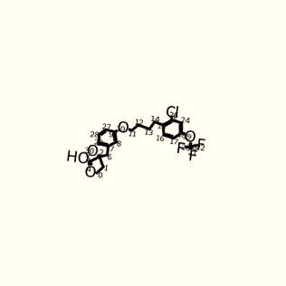 CCC1(C(=O)O)Cc2cc(OCCCCc3ccc(OC(F)(F)F)cc3Cl)ccc2O1